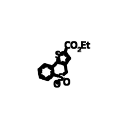 CCOC(=O)c1cc2c(s1)-c1ccccc1S(=O)(=O)C2